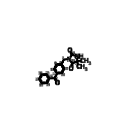 CC1(C)NC(=O)N(Cc2ccc(C(=O)c3ccccc3)cc2)C1=O